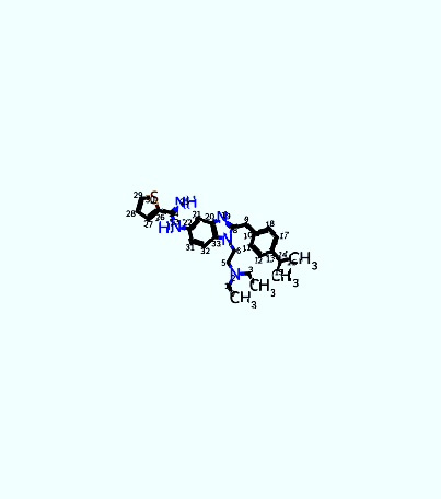 CCN(CC)CCn1c(Cc2ccc(C(C)C)cc2)nc2cc(NC(=N)c3cccs3)ccc21